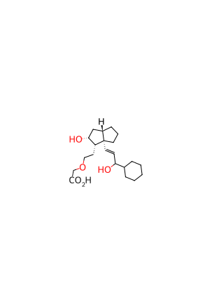 O=C(O)COCC[C@@H]1[C@H](O)C[C@@H]2CCC[C@]21C=CC(O)C1CCCCC1